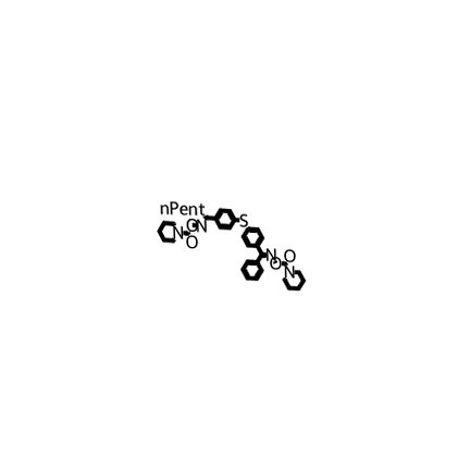 CCCCC/C(=N\OC(=O)N1CCCCC1)c1ccc(Sc2ccc(/C(=N/OC(=O)N3CCCCC3)c3ccccc3)cc2)cc1